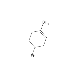 BC1=CCC(CC)CC1